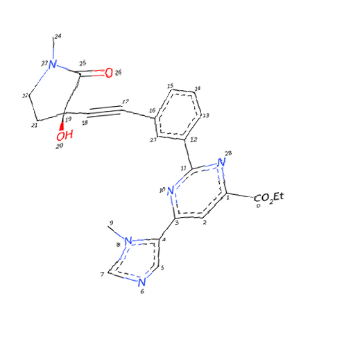 CCOC(=O)c1cc(-c2cncn2C)nc(-c2cccc(C#C[C@]3(O)CCN(C)C3=O)c2)n1